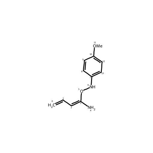 C=C/C=C(/N)ONc1ccc(OC)cc1